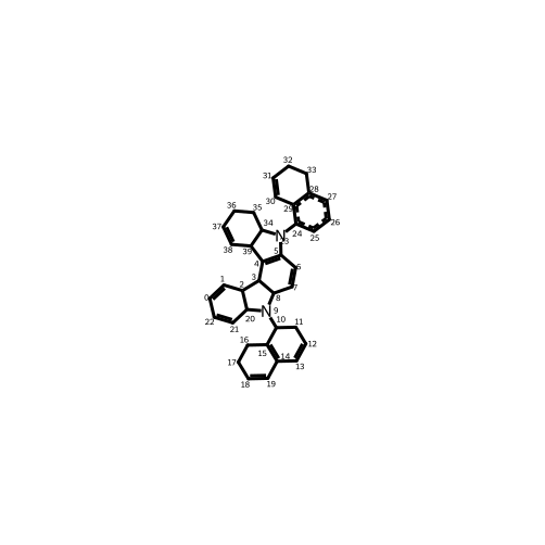 C1=CC2C3C4=C(C=CC3N(C3CC=CC5=C3CCC=C5)C2C=C1)N(c1cccc2c1C=CCC2)C1CCC=CC41